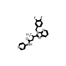 CC(CC(=O)Nc1ccncc1)c1nc2cccnc2n1Cc1ccc(F)c(F)c1